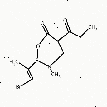 CCC(=O)C1CN(C)B(/C(C)=C/Br)OC1=O